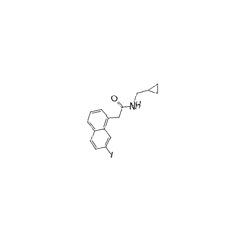 O=C(Cc1cccc2ccc(I)cc12)NCC1CC1